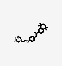 C/C(=C\c1ccc(OCCN2C[C@@H](C)O[C@@H](C)C2)cc1)c1ccc2c(c1)C(C)(C)CCC2(C)C